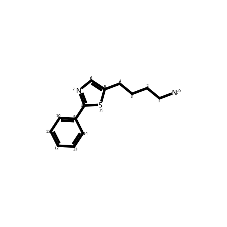 [N]CCCCc1cnc(-c2ccccc2)s1